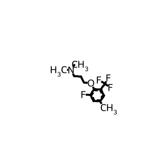 Cc1cc(F)c(OCCCN(C)C)c(C(F)(F)F)c1